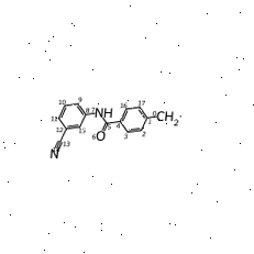 [CH2]c1ccc(C(=O)Nc2cccc(C#N)c2)cc1